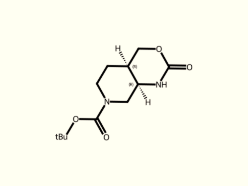 CC(C)(C)OC(=O)N1CC[C@H]2COC(=O)N[C@H]2C1